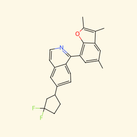 Cc1cc(-c2nccc3cc(C4CCC(F)(F)C4)ccc23)c2oc(C)c(C)c2c1